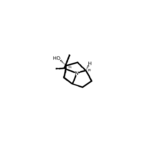 CC(C)N1C2CC[C@@H]1C[C@@H](O)C2